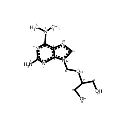 CN(C)c1nc(N)nc2c1ncn2COC(CO)CO